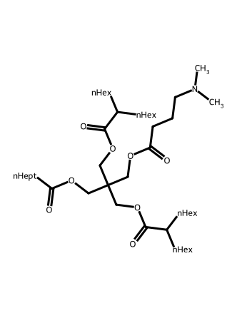 CCCCCCCC(=O)OCC(COC(=O)CCCN(C)C)(COC(=O)C(CCCCCC)CCCCCC)COC(=O)C(CCCCCC)CCCCCC